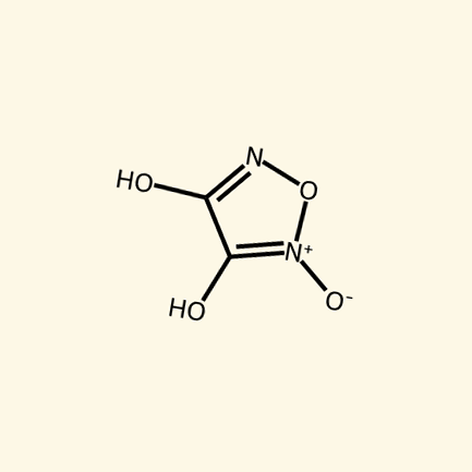 [O-][n+]1onc(O)c1O